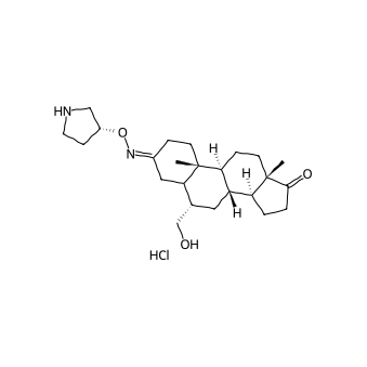 C[C@]12CCC(=NO[C@@H]3CCNC3)CC1[C@@H](CO)C[C@@H]1[C@@H]2CC[C@]2(C)C(=O)CC[C@@H]12.Cl